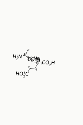 C[C@H](N)C(=O)O.N[C@@H](CCC(=O)O)C(=O)O